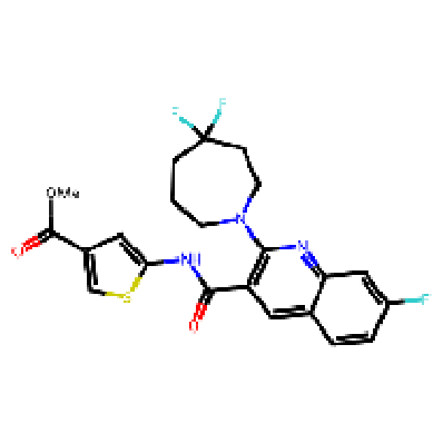 COC(=O)c1csc(NC(=O)c2cc3ccc(F)cc3nc2N2CCCC(F)(F)CC2)c1